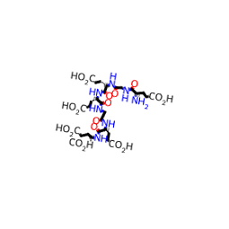 N[C@@H](CCC(=O)O)C(=O)NCC(=O)N[C@@H](CCC(=O)O)C(=O)N[C@@H](CCC(=O)O)C(=O)NCC(=O)N[C@@H](CCC(=O)O)C(=O)N[C@@H](CCC(=O)O)C(=O)O